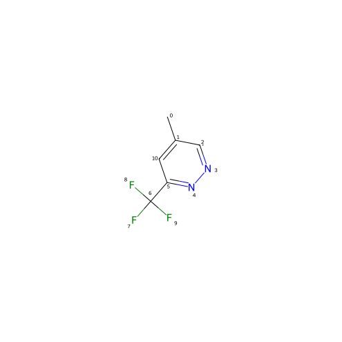 Cc1[c]nnc(C(F)(F)F)c1